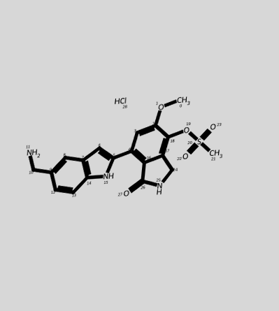 COc1cc(-c2cc3cc(CN)ccc3[nH]2)c2c(c1OS(C)(=O)=O)CNC2=O.Cl